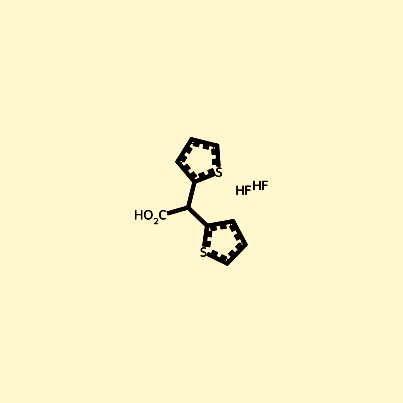 F.F.O=C(O)C(c1cccs1)c1cccs1